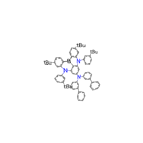 CC(C)(C)c1cccc(N2c3cc(C(C)(C)C)ccc3B3c4ccc(C(C)(C)C)cc4N(c4cccc(C(C)(C)C)c4)c4cc(N(c5cccc(-c6ccccc6)c5)c5cccc(-c6ccccc6)c5)cc2c43)c1